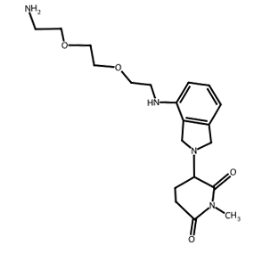 CN1C(=O)CCC(N2Cc3cccc(NCCOCCOCCN)c3C2)C1=O